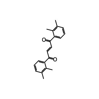 Cc1cccc(C(=O)C=CC(=O)c2cccc(C)c2C)c1C